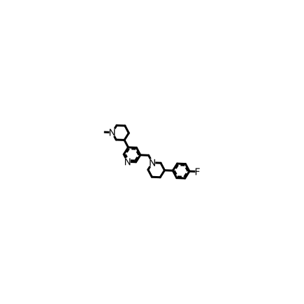 CN1CCCC(c2cncc(CN3CCCC(c4ccc(F)cc4)C3)c2)C1